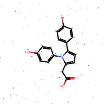 O=C(O)Cc1ccc(-c2ccc(Br)cc2)n1-c1ccc(O)cc1